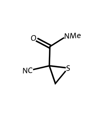 CNC(=O)C1(C#N)CS1